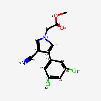 COC(=O)Cn1cc(C#N)c(-c2cc(Cl)cc(Cl)c2)c1